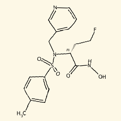 Cc1ccc(S(=O)(=O)N(Cc2cccnc2)[C@H](CCF)C(=O)NO)cc1